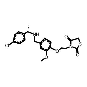 COc1cc(CN[C@@H](C)c2ccc(Cl)cc2)ccc1OCCN1C(=O)CSC1=O